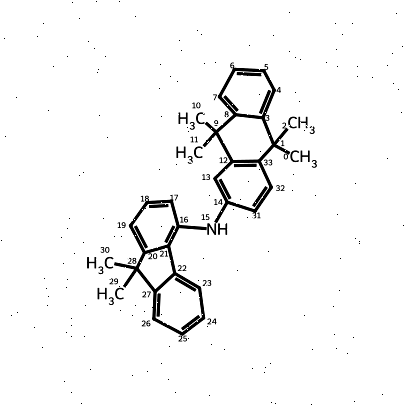 CC1(C)c2ccccc2C(C)(C)c2cc(Nc3cccc4c3-c3ccccc3C4(C)C)ccc21